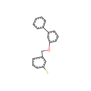 Fc1cccc(COc2[c]ccc(-c3ccccc3)c2)c1